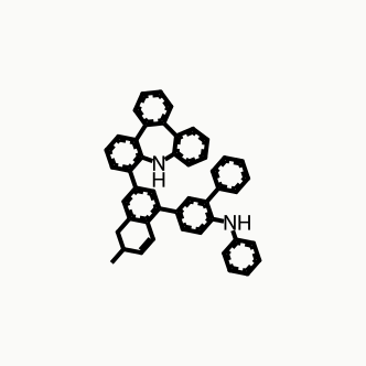 CC1C=Cc2c(cc(-c3cccc4c3Nc3ccccc3-c3ccccc3-4)cc2-c2ccc(Nc3ccccc3)c(-c3ccccc3)c2)C1